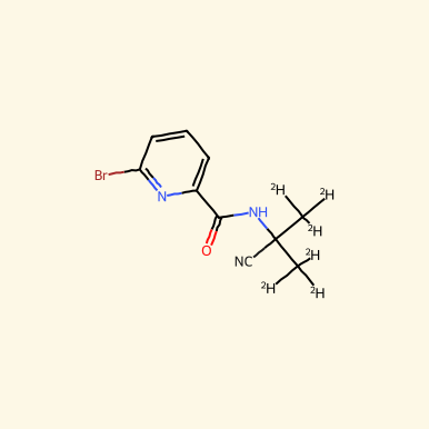 [2H]C([2H])([2H])C(C#N)(NC(=O)c1cccc(Br)n1)C([2H])([2H])[2H]